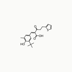 Cc1cc(C=C(C(=O)O)C(=O)CCc2cccs2)cc(C(C)(C)C)c1O